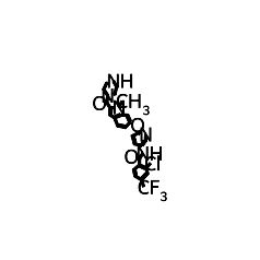 Cn1c(C(=O)N2CCNCC2)cc2ccc(Oc3ccc(NC(=O)c4ccc(C(F)(F)F)cc4Cl)cn3)cc21